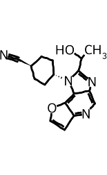 CC(O)c1nc2cnc3ccoc3c2n1[C@H]1CC[C@H](C#N)CC1